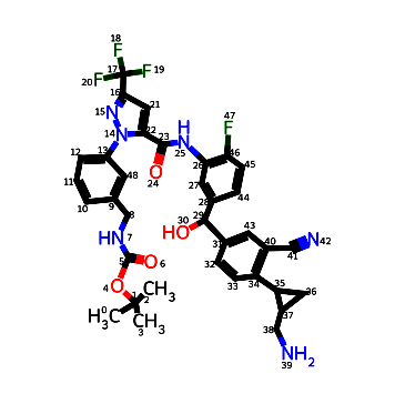 CC(C)(C)OC(=O)NCc1cccc(-n2nc(C(F)(F)F)cc2C(=O)Nc2cc(C(O)c3ccc(C4CC4CN)c(C#N)c3)ccc2F)c1